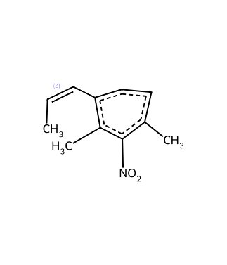 C/C=C\c1ccc(C)c([N+](=O)[O-])c1C